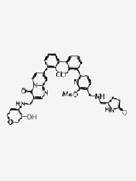 COc1nc(-c2cccc(-c3cccc(-c4ccn5c(=O)c(CN[C@@H]6CCOC[C@@H]6O)cnc5c4)c3Cl)c2Cl)ccc1CNC[C@H]1CCC(=O)N1